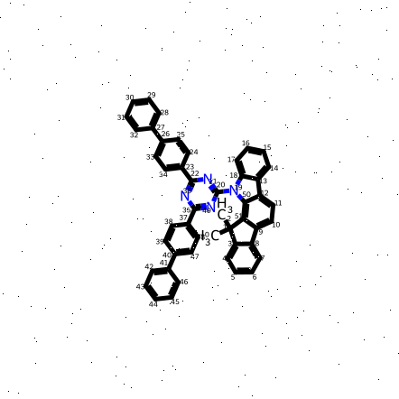 CC1(C)c2ccccc2-c2ccc3c4ccccc4n(-c4nc(-c5ccc(-c6ccccc6)cc5)nc(-c5ccc(-c6ccccc6)cc5)n4)c3c21